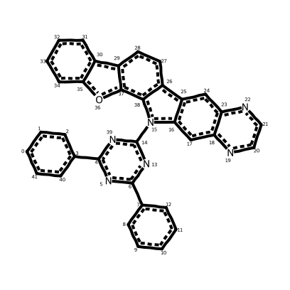 c1ccc(-c2nc(-c3ccccc3)nc(-n3c4cc5nccnc5cc4c4ccc5c6ccccc6oc5c43)n2)cc1